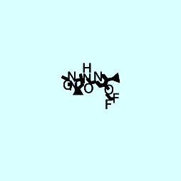 Cc1nc(C(C)(CC2(I)CC2)NC(=O)c2cc(OCC(F)F)c(C3CC3)cn2)no1